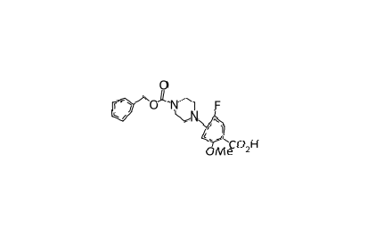 COc1cc(N2CCN(C(=O)OCc3ccccc3)CC2)c(F)cc1C(=O)O